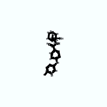 Cc1ccc(Sc2ccc(C(=O)N[C@H]3CN4CCC3CC4)cc2)cn1